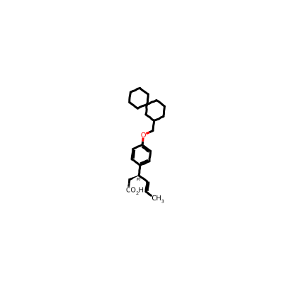 CC=C[C@@H](CC(=O)O)c1ccc(OCC2CCCC3(CCCCC3)C2)cc1